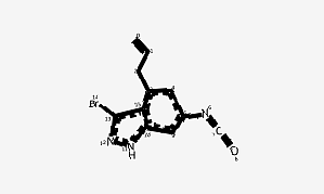 C=CCc1cc(N=C=O)cc2[nH]nc(Br)c12